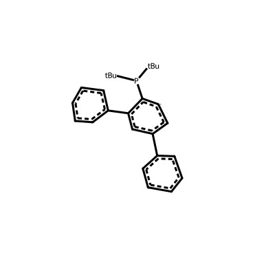 CC(C)(C)P(c1[c]cc(-c2ccccc2)cc1-c1ccccc1)C(C)(C)C